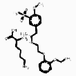 CCOc1ccccc1OCCN[C@H](C)Cc1ccc(OC)c(S(N)(=O)=O)c1.NCCCCC(N)C(=O)O